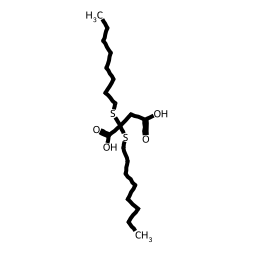 CCCCCCCCSC(CC(=O)O)(SCCCCCCCC)C(=O)O